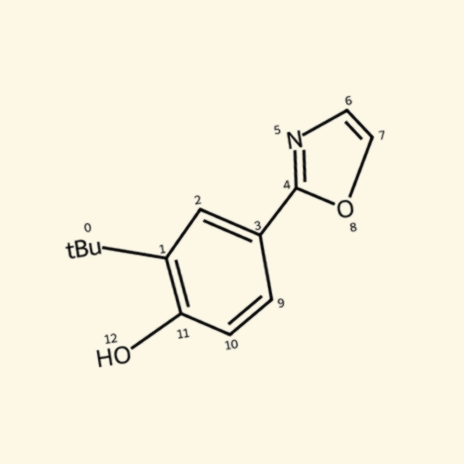 CC(C)(C)c1cc(-c2ncco2)ccc1O